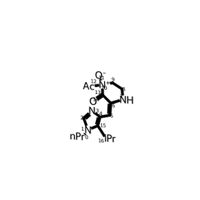 CCCn1cnc(C=C2NCC[N+]([O-])(C(C)=O)C2=O)c1C(C)C